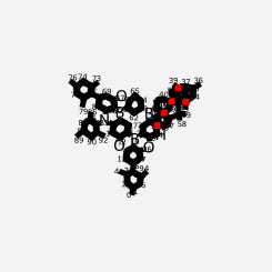 Cc1cc(C)c(-c2cc3c4c(c2)Oc2cc5c(cc2B4c2cc4c(cc2O3)Nc2cc(-c3c(C)cc(C)cc3C)cc3c2B4c2cccc4c2N3c2ccccc2C4(C)C)B2c3ccccc3Oc3cc(-c4c(C)cc(C)cc4C)cc(c32)N5c2c(C)cc(C)cc2C)c(C)c1